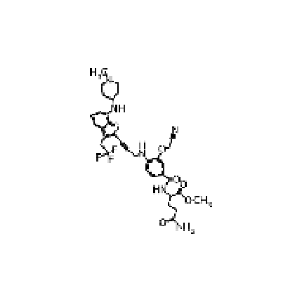 COC(=O)C(CCC(N)=O)NC(=O)c1ccc(NCC#Cc2sc3c(NC4CCN(C)CC4)cccc3c2CC(F)(F)F)c(OCC#N)c1